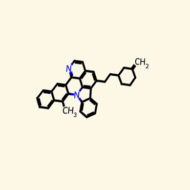 C=C1CCCC(CCc2cc3ccnc4c5cc6ccccc6c(C)c5n5c6ccccc6c2c5c34)C1